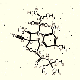 C=C(N(c1ccc(C)cc1N)S(=O)(=O)N(C)C)C1(C#N)CCN(C(=O)OC(C)(C)C)CC1